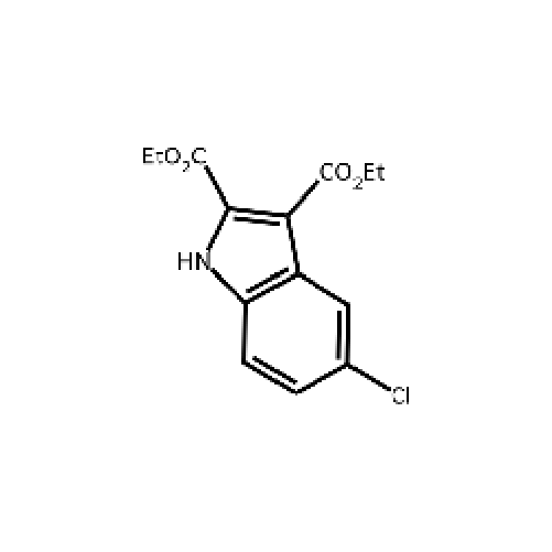 CCOC(=O)c1[nH]c2ccc(Cl)cc2c1C(=O)OCC